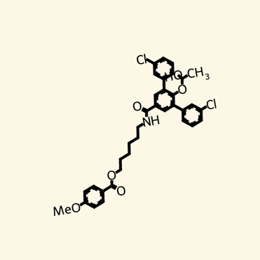 COc1ccc(C(=O)OCCCCCCNC(=O)c2cc(-c3cccc(Cl)c3)c(OC(C)O)c(-c3cccc(Cl)c3)c2)cc1